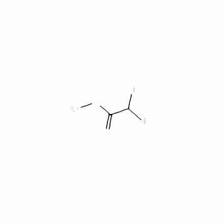 CCOC(=O)C(C(C)C)C(C)C